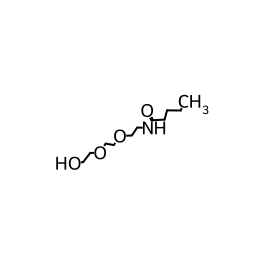 CCCCC(=O)NCCOCCOCCO